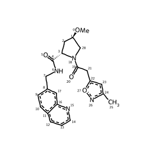 CO[C@@H]1C[C@@H](C(=O)NCc2ccc3cccnc3c2)N(C(=O)Cc2cc(C)no2)C1